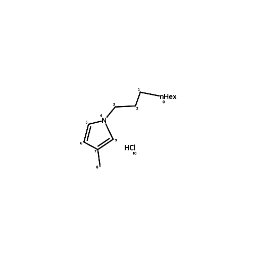 CCCCCCCCCn1ccc(C)c1.Cl